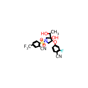 C[C@@H](O)C1(O)CN(S(=O)(=O)c2ccc(C(F)(F)F)cc2C#N)C[C@@H]1Oc1ccc(C#N)c(F)c1